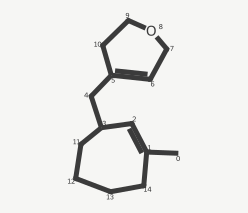 CC1=CC(CC2=CCOCC2)CCCC1